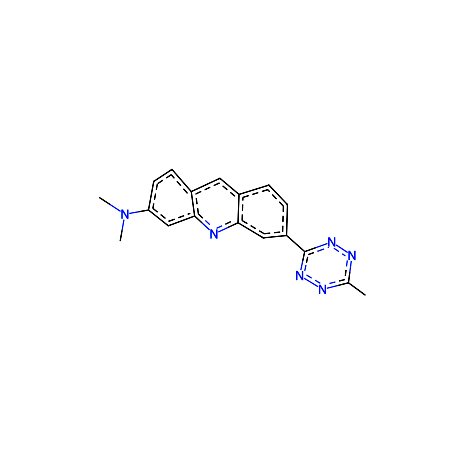 Cc1nnc(-c2ccc3cc4ccc(N(C)C)cc4nc3c2)nn1